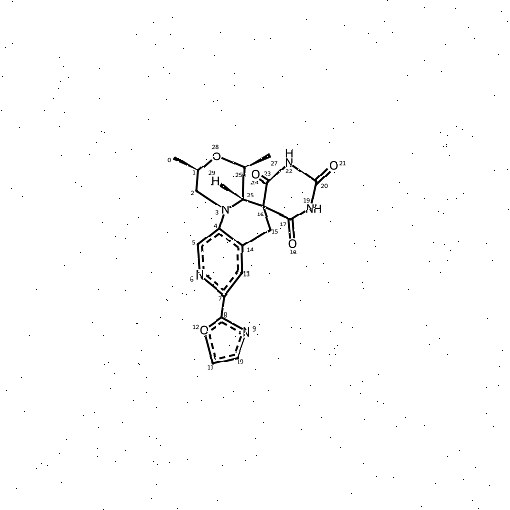 C[C@@H]1CN2c3cnc(-c4ncco4)cc3CC3(C(=O)NC(=O)NC3=O)[C@H]2[C@H](C)O1